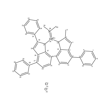 CC1=Cc2c(-c3ccccc3)cccc2[CH]1[Hf+2]([CH]1C(c2ccccc2)=Cc2c(-c3ccccc3)cccc21)=[Si](C)C.[Cl-].[Cl-]